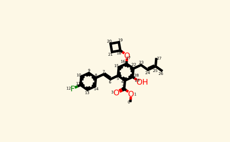 COC(=O)c1c(C=Cc2ccc(F)cc2)cc(OC2CCC2)c(CC=C(C)C)c1O